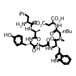 CCCC[C@@H](C(=O)N[C@@H](CC(=O)O)C(=O)O)N(C)C(=O)[C@H](Cc1c[nH]c2ccccc12)NC(=O)CNC(=O)[C@H](Cc1ccc(O)cc1)NC(=O)[C@H](C)NC(=O)[C@@H](N)CC(C)C